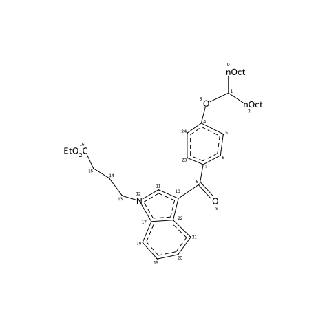 CCCCCCCCC(CCCCCCCC)Oc1ccc(C(=O)c2cn(CCCC(=O)OCC)c3ccccc23)cc1